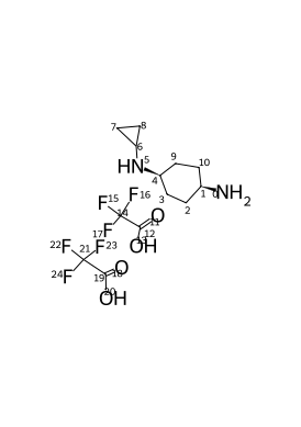 N[C@H]1CC[C@@H](NC2CC2)CC1.O=C(O)C(F)(F)F.O=C(O)C(F)(F)F